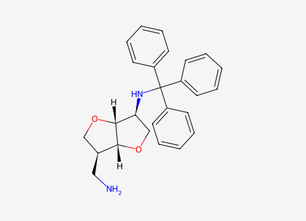 NC[C@H]1CO[C@H]2[C@@H]1OC[C@@H]2NC(c1ccccc1)(c1ccccc1)c1ccccc1